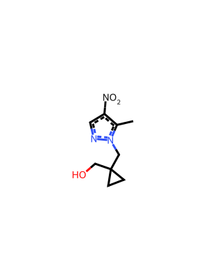 Cc1c([N+](=O)[O-])cnn1CC1(CO)CC1